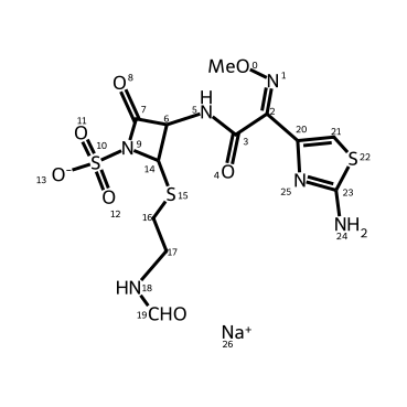 CO/N=C(\C(=O)NC1C(=O)N(S(=O)(=O)[O-])C1SCCNC=O)c1csc(N)n1.[Na+]